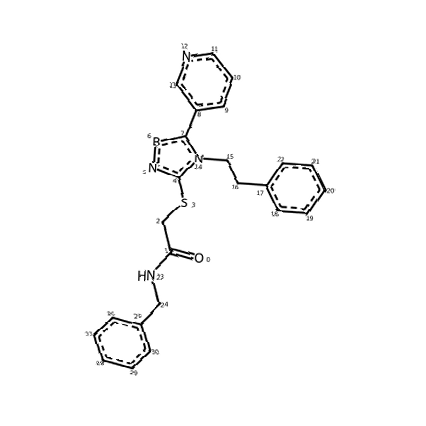 O=C(CSc1nbc(-c2cccnc2)n1CCc1ccccc1)NCc1ccccc1